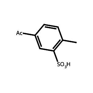 CC(=O)c1ccc(C)c(S(=O)(=O)O)c1